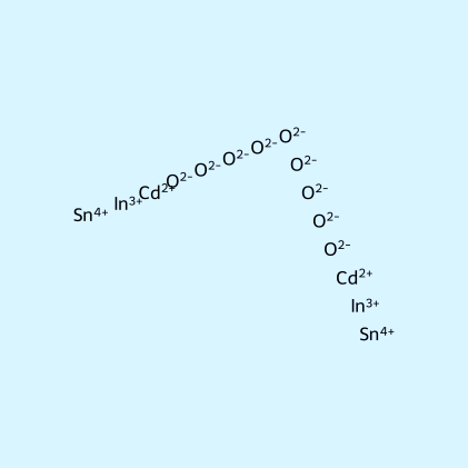 [Cd+2].[Cd+2].[In+3].[In+3].[O-2].[O-2].[O-2].[O-2].[O-2].[O-2].[O-2].[O-2].[O-2].[Sn+4].[Sn+4]